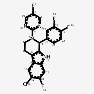 Fc1cnc(N2CCc3c([nH]c4cc(F)c(Cl)cc34)C2c2ccc(F)c(F)c2)nc1